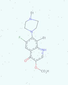 CCc1c(N2CCN(CC)CC2)c(F)cc2c(=O)c(OC(=O)O)c[nH]c12